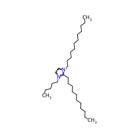 CCCCCCCCCCCC[n+]1ccn(CCCCC)c1CCCCCCCCCCC